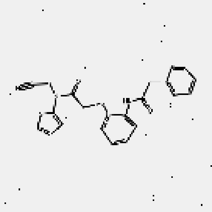 N#CCN(C(=O)CSc1ccccc1NC(=O)Cc1ccccc1)c1cccs1